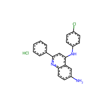 Cl.Nc1ccc2nc(-c3ccccc3)cc(Nc3ccc(Cl)cc3)c2c1